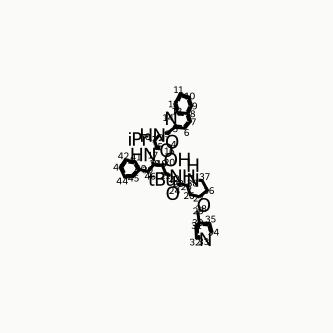 CC(C)[C@H](NC(=O)c1ccc2ccccc2n1)C(=O)NC(C(O)CNC(=O)C1CC(OCc2ccncc2)CCN1)C(c1ccccc1)C(C)(C)C